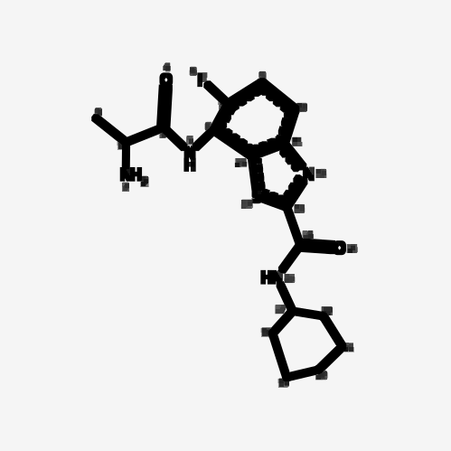 CC(N)C(=O)Nc1c(F)ccc2nc(C(=O)NC3CCCCC3)sc12